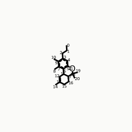 CCCc1cc2c(c(C)c1C)C1C=C(C)CCC1C(C)(C)O2